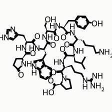 CC(C)C[C@H](NC(=O)[C@@H](CCCCN)NC(=O)[C@H](Cc1ccc(O)cc1)NC(=O)[C@H](CO)NC(=O)[C@H](Cc1c[nH]c2ccccc12)NC(=O)[C@H](Cc1c[nH]cn1)NC(=O)[C@@H]1CCC(=O)N1)C(=O)N[C@@H](CCCNC(=N)N)C(=O)N1CCC[C@H]1C(=O)O